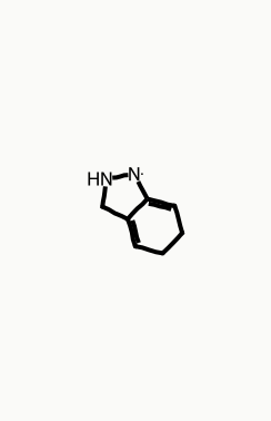 C1=C2CN[N]C2=CCC1